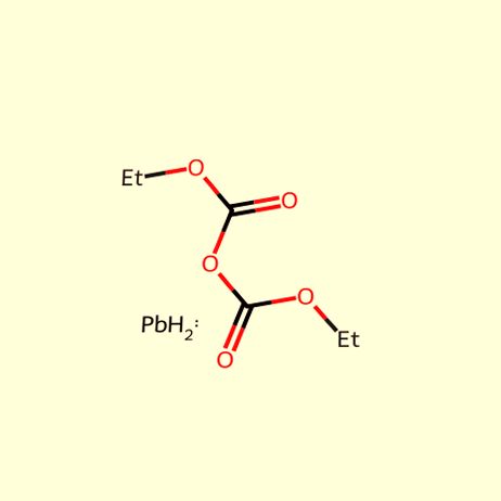 CCOC(=O)OC(=O)OCC.[PbH2]